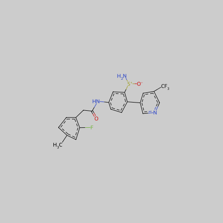 Cc1ccc(CC(=O)Nc2ccc(-c3cncc(C(F)(F)F)c3)c([S+](N)[O-])c2)c(F)c1